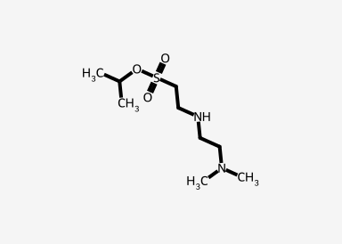 CC(C)OS(=O)(=O)CCNCCN(C)C